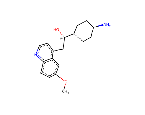 COc1ccc2nccc(C[C@H](O)[C@H]3CC[C@H](N)CC3)c2c1